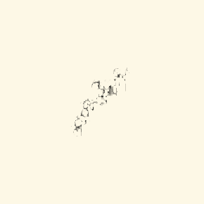 O=C(NC1CC1)c1ccc2c(c1)nc(CN1CCC(c3cccc(OCc4ccc(Cl)cc4F)n3)CC1)n2CC1CCO1